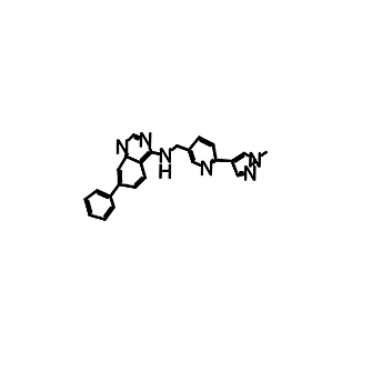 Cn1cc(-c2ccc(CNc3ncnc4cc(-c5ccccc5)ccc34)cn2)cn1